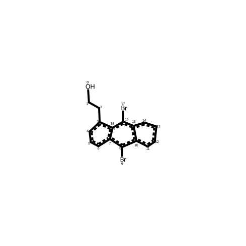 OCCc1cccc2c(Br)c3ccccc3c(Br)c12